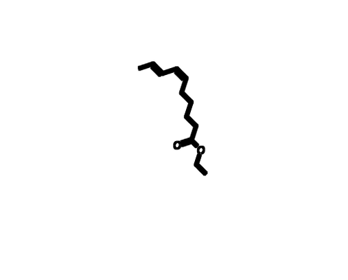 C/C=C/C=C\CCCCC(=O)OCC